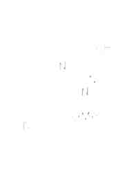 COc1cc(Br)ccc1-c1nn(C)c2c(O)cc(C)nc12